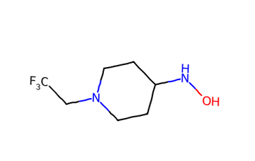 ONC1CCN(CC(F)(F)F)CC1